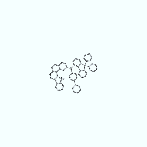 c1ccc(-c2ccc(N(c3ccc4ccc5ccc6c7ccccc7[se]c6c5c4c3)c3cccc4c3-c3ccccc3C4(c3ccccc3)c3ccccc3)cc2)cc1